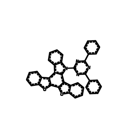 c1ccc(-c2nc(-c3ccccc3)nc(-n3c4ccccc4c4c5c6ccccc6oc5c5oc6ccccc6c5c43)n2)cc1